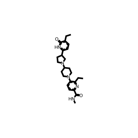 CCc1nc(C(=O)NC)ccc1N1CCC(N2CCC(c3ccc(CC)c(=O)[nH]3)C2)CC1